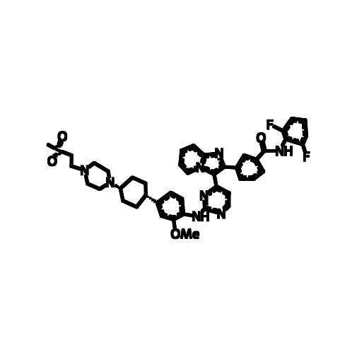 COc1cc([C@H]2CC[C@@H](N3CCN(CCS(C)(=O)=O)CC3)CC2)ccc1Nc1nccc(-c2c(-c3cccc(C(=O)Nc4c(F)cccc4F)c3)nc3ccccn23)n1